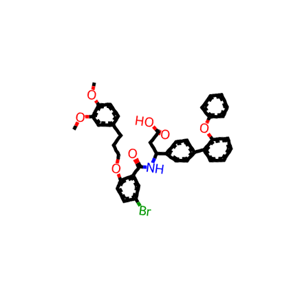 COc1ccc(CCCOc2ccc(Br)cc2C(=O)NC(CC(=O)O)c2ccc(-c3ccccc3Oc3ccccc3)cc2)cc1OC